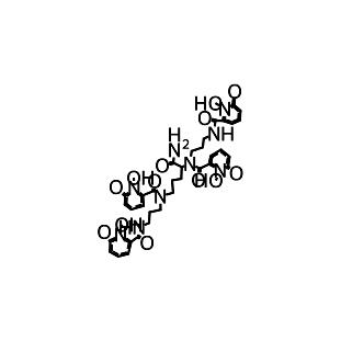 NC(=O)C(CCCN(CCCNC(=O)c1cccc(=O)n1O)C(=O)c1cccc(=O)n1O)N(CCCNC(=O)c1cccc(=O)n1O)C(=O)c1cccc(=O)n1O